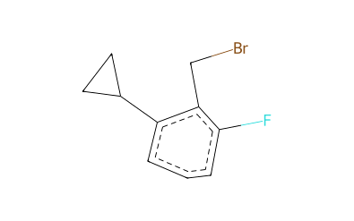 Fc1cccc(C2CC2)c1CBr